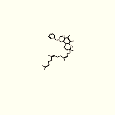 CC(C)=CCCC(C)=CCCC(C)=CCCC1(C)CCc2c3c(c(C)c(C)c2O1)OCN(Cc1ccccc1)C3